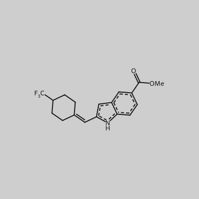 COC(=O)c1ccc2[nH]c(C=C3CCC(C(F)(F)F)CC3)cc2c1